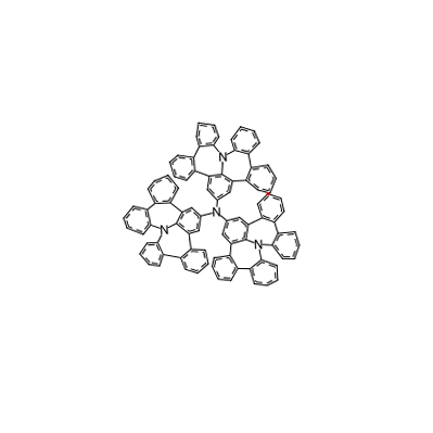 c1ccc2c(c1)-c1ccccc1N1c3ccccc3-c3ccccc3-c3cc(N(c4cc5c6c(c4)-c4ccccc4-c4ccccc4N6c4ccccc4-c4ccccc4-5)c4cc5c6c(c4)-c4ccccc4-c4ccccc4N6c4ccccc4-c4ccccc4-5)cc-2c31